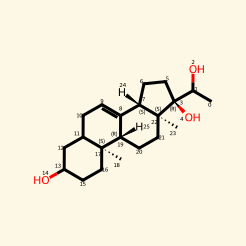 CC(O)[C@@]1(O)CC[C@H]2C3=CCC4CC(O)CC[C@]4(C)[C@H]3CC[C@@]21C